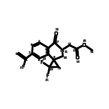 C=C(F)c1ccc2c(c1)C1(CN(CC(=O)OC)C2=O)CC1(F)F